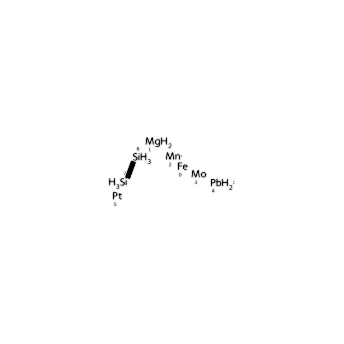 [Fe].[MgH2].[Mn].[Mo].[PbH2].[Pt].[SiH3][SiH3]